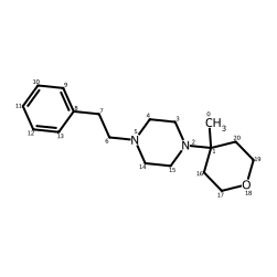 CC1(N2CCN(CCc3ccccc3)CC2)CCOCC1